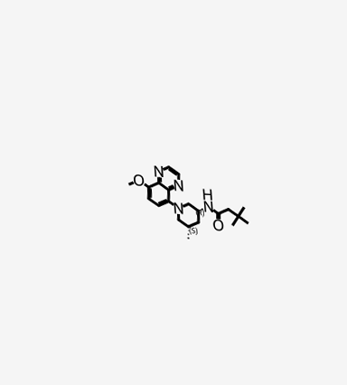 COc1ccc(N2C[C@@H](C)C[C@@H](NC(=O)CC(C)(C)C)C2)c2nccnc12